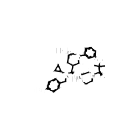 CC(C)(Oc1cccc(N2CCCC(C(=O)N(Cc3ccc(C(C)(C)C)cc3)C3CC3)C2)c1)C(=O)N1CCNCC1.Cl